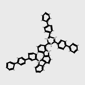 c1ccc(-c2ccc(-c3cccc(-n4c5ccccc5c5ccc6oc7c(-c8nc(-c9ccc(-c%10ccccc%10)cc9)nc(-c9ccc(-c%10ccccc%10)cc9)n8)cccc7c6c54)c3)cc2)cc1